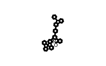 O=c1c2ccccc2c2cc(-c3ccc(-c4ccc5c(c4)-c4ccccc4C5c4ccccc4)cc3)cc3c4ccc5c(c4n1c23)-c1ccccc1C51c2ccccc2-c2ccccc21